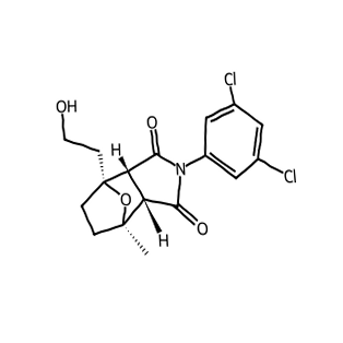 C[C@]12CC[C@](CCO)(O1)[C@@H]1C(=O)N(c3cc(Cl)cc(Cl)c3)C(=O)[C@@H]12